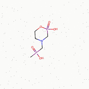 CP(=O)(O)CN1CCOP(=O)(O)C1